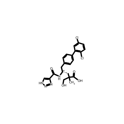 CC(CO)(C[C@@H](Cc1ccc(-c2cc(Cl)ccc2Cl)cc1)NC(=O)c1c[nH]nn1)C(=O)O